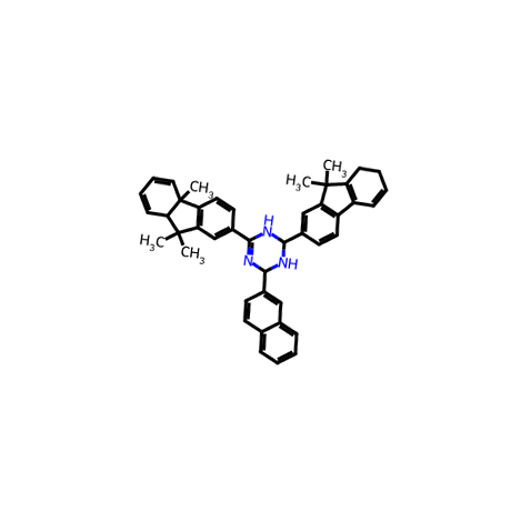 CC1(C)C2=C(C=CCC2)c2ccc(C3NC(c4ccc5c(c4)C(C)(C)C4C=CC=CC54C)=NC(c4ccc5ccccc5c4)N3)cc21